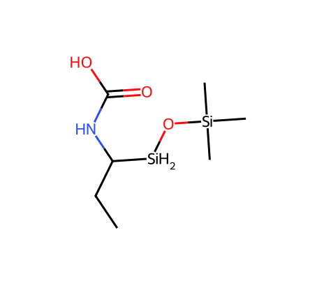 CCC(NC(=O)O)[SiH2]O[Si](C)(C)C